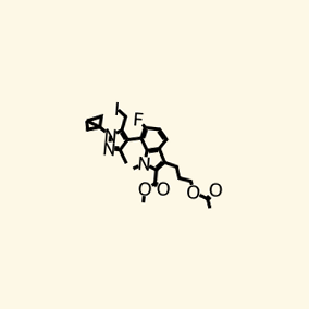 COC(=O)c1c(CCCOC(C)=O)c2ccc(F)c(-c3c(C)nn(C45CC4C5)c3CI)c2n1C